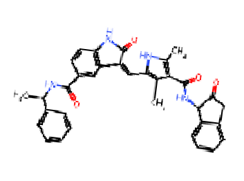 Cc1[nH]c(/C=C2\C(=O)Nc3ccc(C(=O)N[C@H](C)c4ccccc4)cc32)c(C)c1C(=O)N[C@H]1C(=O)Cc2ccccc21